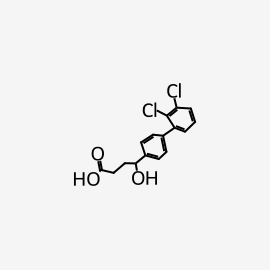 O=C(O)CCC(O)c1ccc(-c2cccc(Cl)c2Cl)cc1